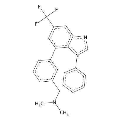 CN(C)Cc1cccc(-c2cc(C(F)(F)F)cc3ncn(-c4ccccc4)c23)c1